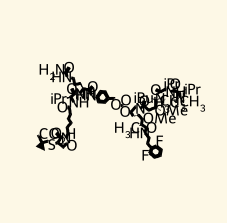 CC[C@H](C)[C@@H]([C@@H](CC(=O)N1C[C@@H](OC(=O)OCc2ccc(NC(=O)[C@H](CCCNC(N)=O)NC(=O)[C@@H](NC(=O)CCCCCN3C(=O)CC(SCC4(CC(=O)O)CC4)C3=O)C(C)C)cc2)C[C@H]1[C@H](OC)[C@@H](C)C(=O)NCCc1c(F)cccc1F)OC)N(C)C(=O)[C@@H](NC(=O)[C@H](C(C)C)N(C)C)C(C)C